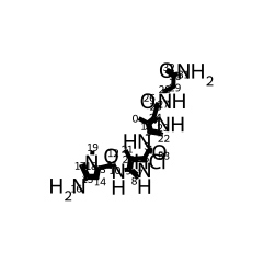 Cc1c(NC(=O)c2[nH]cc(NC(=O)c3cc(N)cn3C)c2C)c[nH]c1C(=O)NCCC(N)=O.Cl